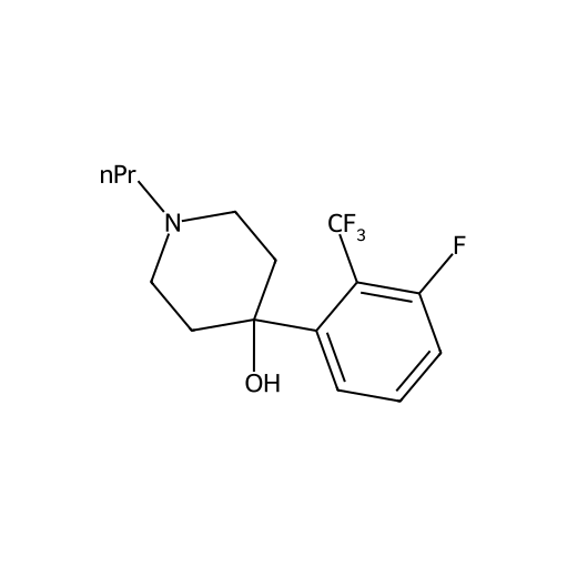 CCCN1CCC(O)(c2cccc(F)c2C(F)(F)F)CC1